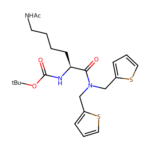 CC(=O)NCCCC[C@H](NC(=O)OC(C)(C)C)C(=O)N(Cc1cccs1)Cc1cccs1